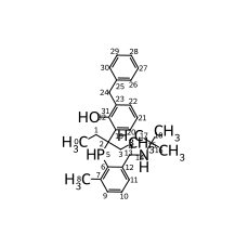 CCC(CC)(Pc1c(C)cccc1CNC(C)(C)C)c1cccc(Cc2ccccc2)c1O